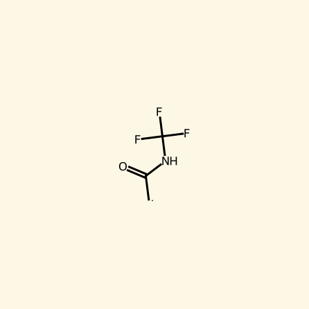 [CH2]C(=O)NC(F)(F)F